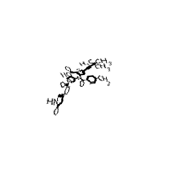 CC(C)(C)C#Cc1cc(N(C(=O)[C@H]2CC[C@H](C)CC2)[C@H]2CCN(C(=O)O[C@H]3CNC(=O)C3)C2)c(C(=O)O)s1